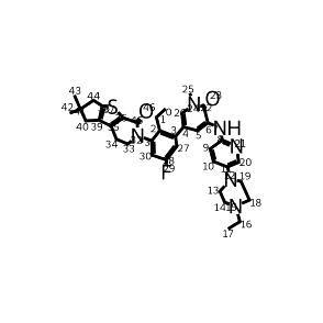 CCc1c(-c2cc(Nc3ccc(N4CCN(CC)CC4)cn3)c(=O)n(C)c2)cc(F)cc1N1CCc2c(sc3c2CC(C)(C)C3)C1=O